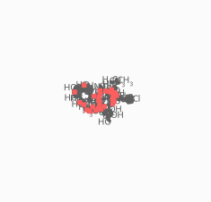 CN[C@@H](CC(C)C)C(=O)N[C@H]1C(=O)N[C@@H](CC(N)=O)C(=O)NC2C(=O)N[C@@H]3C(=O)N[C@@H](C(=O)N[C@@H](C(=O)O)c4cc(O)cc(O)c4-c4cc3ccc4O)[C@H](O)c3ccc(c(Cl)c3)Oc3cc2cc(c3OC2O[C@@H](CO)[C@@H](O)[C@@H](O)[C@H]2O[C@H]2CC(C)(NCCn3ccc(NC(=O)/C=C/c4ccc(Cl)cc4)nc3=O)[C@@H](O)C(C)O2)Oc2ccc(cc2Cl)[C@H]1O